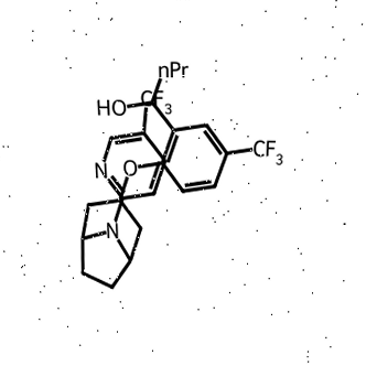 CCCC(O)c1cc(C(F)(F)F)ccc1OC1CC2CCC(C1)N2c1ccc(C(F)(F)F)cn1